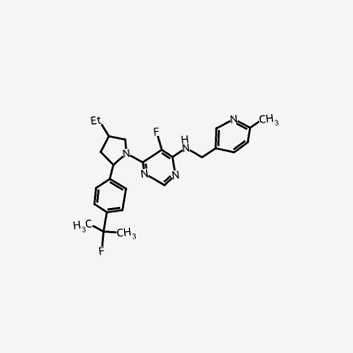 CCC1CC(c2ccc(C(C)(C)F)cc2)N(c2ncnc(NCc3ccc(C)nc3)c2F)C1